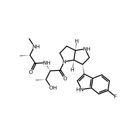 CN[C@@H](C)C(=O)N[C@H](C(=O)N1CC[C@H]2NC[C@H](c3c[nH]c4cc(F)ccc34)[C@H]21)[C@@H](C)O